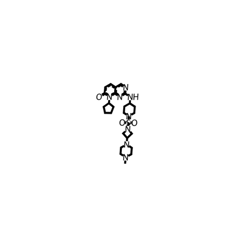 CN1CCN(C2CN(S(=O)(=O)N3CCC(Nc4ncc5ccc(=O)n(C6CCCC6)c5n4)CC3)C2)CC1